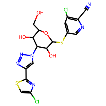 N#Cc1ncc(SC2OC(CO)C(O)C(n3cc(-c4nc(Cl)cs4)nn3)C2O)cc1Cl